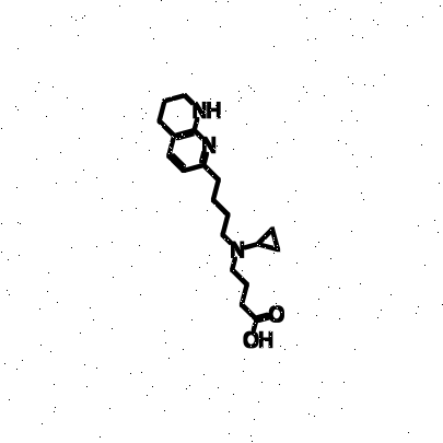 O=C(O)CCCN(CCCCc1ccc2c(n1)NCCC2)C1CC1